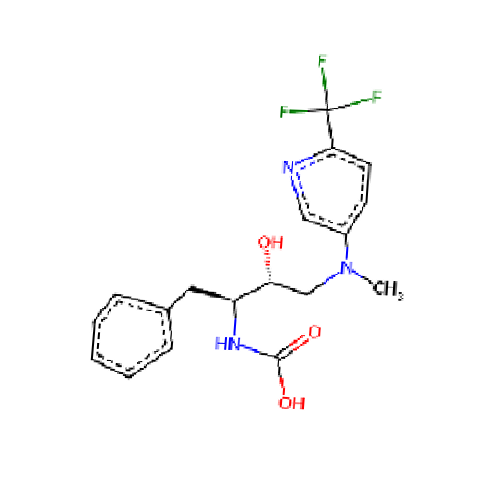 CN(C[C@@H](O)[C@H](Cc1ccccc1)NC(=O)O)c1ccc(C(F)(F)F)nc1